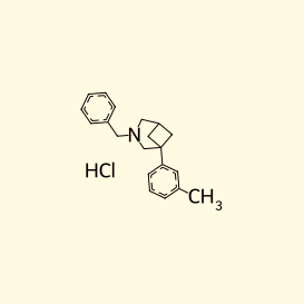 Cc1cccc(C23CC(CN(Cc4ccccc4)C2)C3)c1.Cl